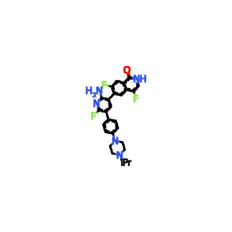 CC(C)N1CCN(c2ccc(-c3cc(-c4cc5c(F)c[nH]c(=O)c5cc4F)c(N)nc3F)cc2)CC1